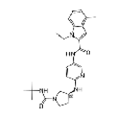 CCn1c(C(=O)Nc2ccc(N[C@H]3CCN(C(=O)NC(C)(C)C)C3)nc2)cc2c(C)cccc21